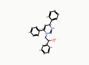 OC(CN1C=NC(c2ccccc2)C=C1c1ccccc1)c1ccccc1